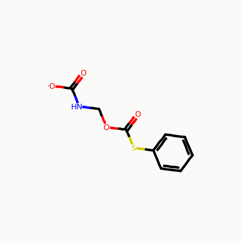 [O]C(=O)NCOC(=O)Sc1ccccc1